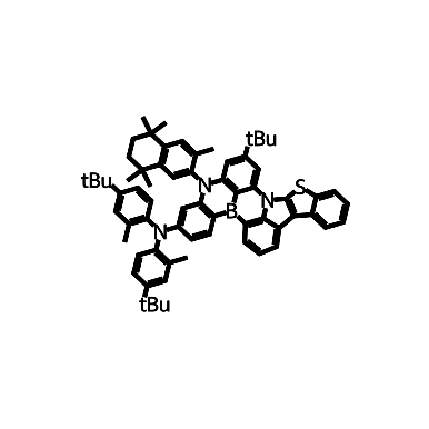 Cc1cc(C(C)(C)C)ccc1N(c1ccc2c(c1)N(c1cc3c(cc1C)C(C)(C)CCC3(C)C)c1cc(C(C)(C)C)cc3c1B2c1cccc2c4c5ccccc5sc4n-3c12)c1ccc(C(C)(C)C)cc1C